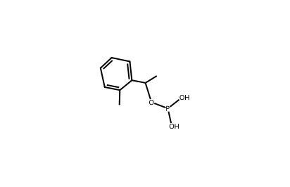 Cc1ccccc1C(C)OP(O)O